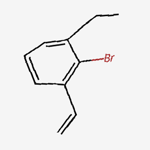 C=Cc1cccc(CC)c1Br